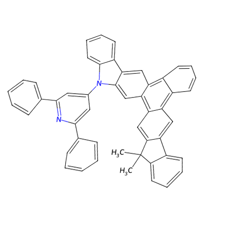 CC1(C)c2ccccc2-c2cc3c4ccccc4c4cc5c6ccccc6n(-c6cc(-c7ccccc7)nc(-c7ccccc7)c6)c5cc4c3cc21